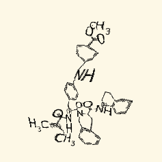 CC[C@@H](C)C(=O)N[C@@H](Cc1ccc(NCc2ccc(C(=O)OC)cc2)cc1)C(=O)N1Cc2ccccc2CC1C(=O)N[C@@H]1CCCc2ccccc21